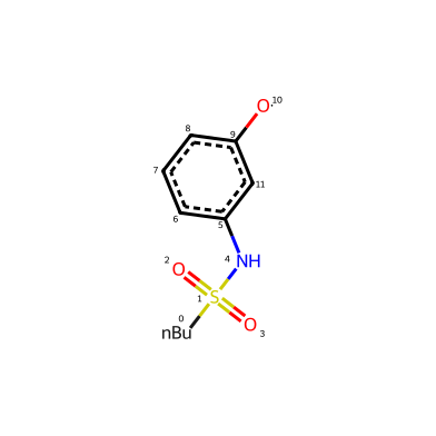 CCCCS(=O)(=O)Nc1cccc([O])c1